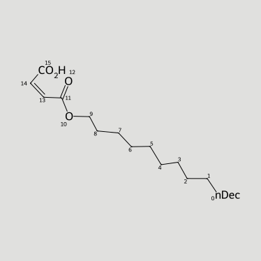 CCCCCCCCCCCCCCCCCCCOC(=O)/C=C\C(=O)O